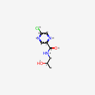 CC(O)CNC(=O)c1cnc(Cl)cn1